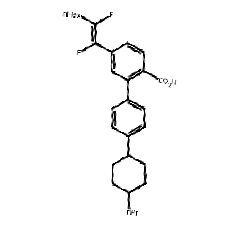 CCCCCCC(F)=C(F)c1ccc(C(=O)O)c(-c2ccc(C3CCC(CCC)CC3)cc2)c1